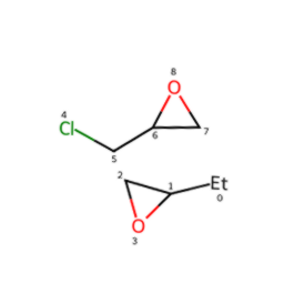 CCC1CO1.ClCC1CO1